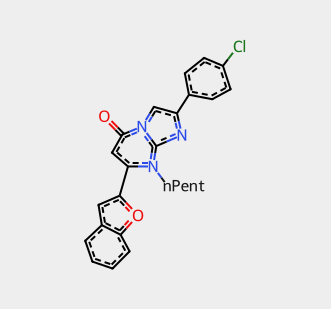 CCCCCn1c(-c2cc3ccccc3o2)cc(=O)n2cc(-c3ccc(Cl)cc3)nc12